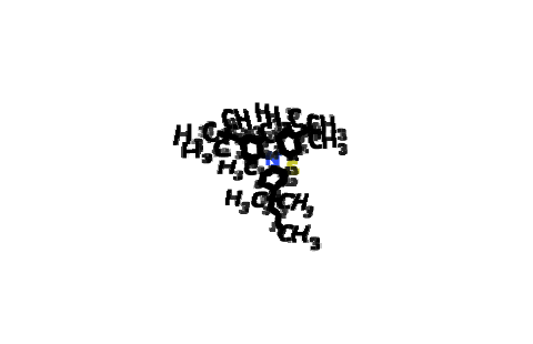 CCCCC(C)(C)c1ccc2c(c1)Sc1cc(C(C)(C)C)ccc1N2c1c(C)cc(C(C)(C)C)cc1C